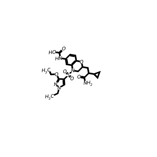 CCOc1nn(CC)cc1S(=O)(=O)N1CC(CC(C(N)=O)C2CC2)Oc2ccc(NC(=O)O)cc21